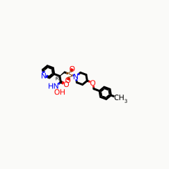 Cc1ccc(COC2CCN(S(=O)(=O)C[C@@H](C(=O)NO)c3cccnc3)CC2)cc1